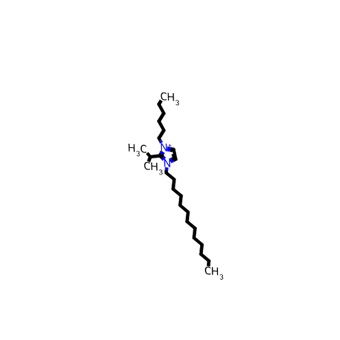 CCCCCCCCCCCCCn1cc[n+](CCCCCC)c1C(C)C